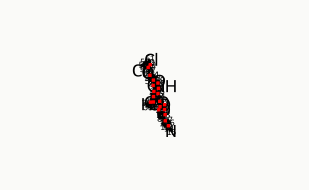 COC(=O)[C@H](Cc1ccc(-c2ccc(C#N)cc2)cc1)NC(=O)C1Cc2cc3c(cc2CN1C(=O)OC(C)(C)C)OC(c1ccc(OCc2cc(Cl)ccc2Cl)cc1)C(=O)N3